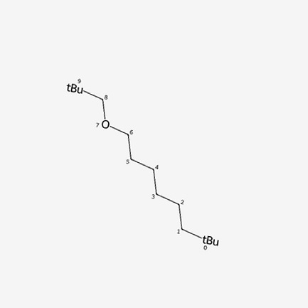 CC(C)(C)CCCCCCOCC(C)(C)C